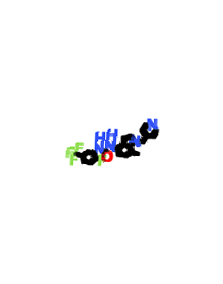 Cc1ccc(NC(=O)Nc2cc(C(F)(F)F)ccc2F)c2ccn(Cc3ccncc3)c12